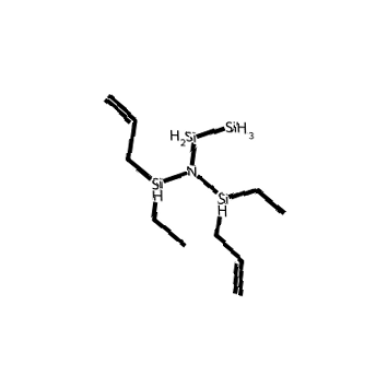 C=CC[SiH](CC)N([SiH2][SiH3])[SiH](CC)CC=C